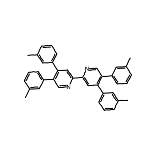 Cc1cccc(-c2cnc(-c3cc(-c4cccc(C)c4)c(-c4cccc(C)c4)cn3)cc2-c2cccc(C)c2)c1